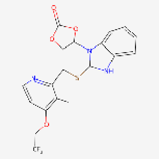 Cc1c(OCC(F)(F)F)ccnc1CSC1Nc2ccccc2N1C1COC(=O)O1